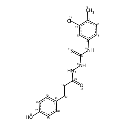 Cc1ccc(NC(=S)NNC(=O)CCc2ccc(O)cc2)cc1Cl